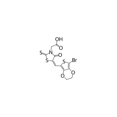 O=C(O)CN1C(=O)/C(=C\c2sc(Br)c3c2OCCO3)SC1=S